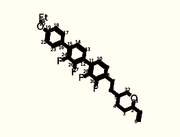 C=CC1CCC(CCc2ccc(-c3ccc(-c4ccc(OCC)cc4)c(F)c3F)c(F)c2F)CO1